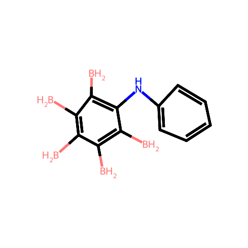 Bc1c(B)c(B)c(Nc2ccccc2)c(B)c1B